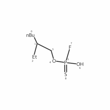 CCCCC(CC)COP(O)(F)=S